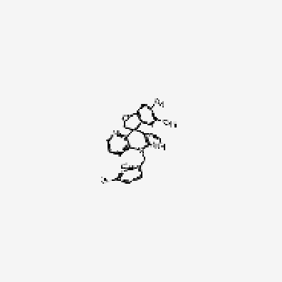 Oc1cc2c(cc1O)C1(CO2)C2=C(NCC=C2)N(Cc2ccc(Cl)s2)c2cccnc21